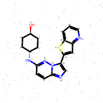 O[C@H]1CC[C@H](Nc2ccc3ncc(-c4cc5ncccc5s4)n3n2)CC1